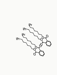 CC(C)CCCCCCOC(=O)c1ccccc1C(=O)OCCCCCCC(C)C.CC(C)CCCCCCOC(=O)c1ccccc1C(=O)OCCCCCCC(C)C